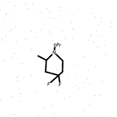 CCCN1CCC(F)(F)CC1C